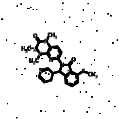 CSc1cccc2c1C(=O)N(c1ccc3c(n1)N(C)[C@H](C)C(=O)N3C)C2C1C=NC=CC1